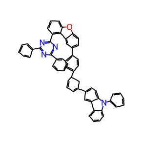 C1=CC(c2ccc(-c3ccc4oc5cccc(-c6nc(-c7ccccc7)nc(-c7ccccc7)n6)c5c4c3)cc2)CC(c2ccc3c(c2)c2ccccc2n3-c2ccccc2)=C1